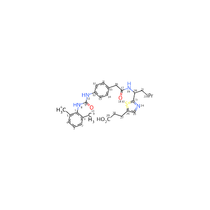 Cc1cccc(C)c1NC(=O)Nc1ccc(CC(=O)NC(CC(C)C)c2ncc(CCC(=O)O)s2)cc1